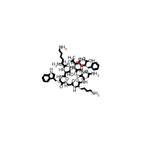 CC(C)C[C@H](NC(=O)[C@H](CC(N)=O)NC(=O)[C@H](CCCCN)NC(=O)CNC(=O)[C@H](Cc1c[nH]c2ccccc12)NC(=O)[C@@H](NC(=O)[C@@H](N)CCCCN)C(C)O)C(=O)N[C@H](C(=O)N[C@@H](Cc1ccccc1)C(=O)O)C(C)C